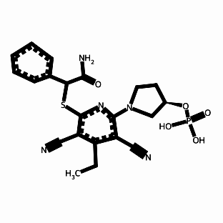 CCc1c(C#N)c(SC(C(N)=O)c2ccccc2)nc(N2CC[C@@H](OP(=O)(O)O)C2)c1C#N